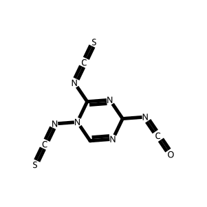 O=C=NC1N=CN(N=C=S)C(N=C=S)=N1